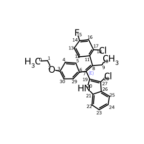 CCOc1ccc(/C(=C(/CC)c2ccc(F)cc2Cl)c2[nH]c3ccccc3c2Cl)cc1